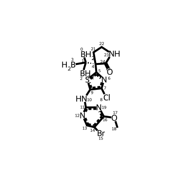 BC(B)(B)[C@]1(c2nc(Cl)c(Nc3ncc(Br)c(OC)n3)s2)CCNC1=O